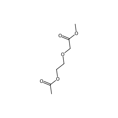 COC(=O)COCCOC(C)=O